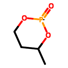 CC1CCO[P](=O)O1